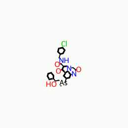 CN1C(=O)Cn2cc(C(=O)NCc3ccc(Cl)cc3)c(=O)c3cc(C[As](C)CC(O)c4ccccc4)cc1c32